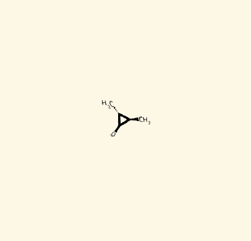 C[C@H]1C([O])[C@@H]1C